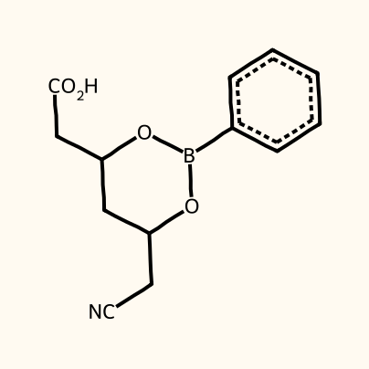 N#CCC1CC(CC(=O)O)OB(c2ccccc2)O1